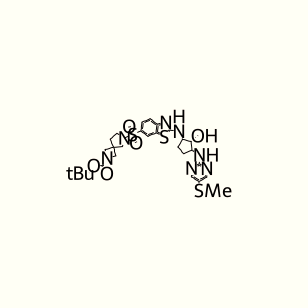 CSc1cnc(N[C@H]2CC[C@H](Nc3nc4ccc(S(=O)(=O)N5CCC6(CN(C(=O)OC(C)(C)C)C6)C5)cc4s3)[C@@H]2O)nc1